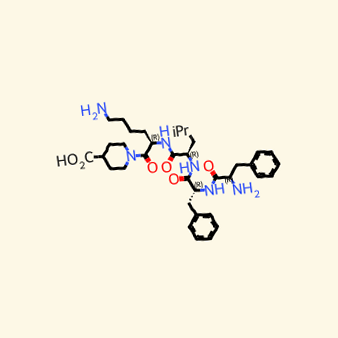 CC(C)C[C@@H](NC(=O)[C@@H](Cc1ccccc1)NC(=O)[C@H](N)Cc1ccccc1)C(=O)N[C@H](CCCCN)C(=O)N1CCC(C(=O)O)CC1